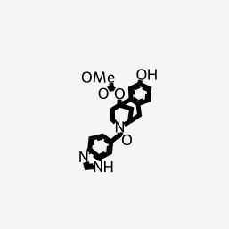 COC(=O)OC12CCN(C(=O)c3ccc4nc[nH]c4c3)C(Cc3ccc(O)cc31)C2